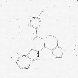 CC(C)c1nnc(C(=O)N2CCc3[nH]cnc3C2c2cc3c(C(F)(F)F)cccn3n2)o1